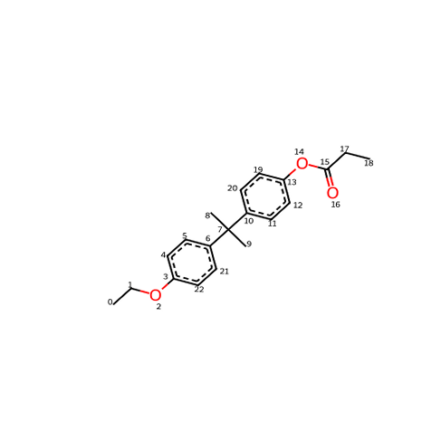 CCOc1ccc(C(C)(C)c2ccc(OC(=O)CC)cc2)cc1